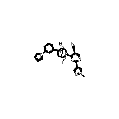 Cn1cc(-c2ncc(C#N)c(N3C[C@@H]4CC[C@H]3CN4c3cccc(-n4cccc4)c3)n2)cn1